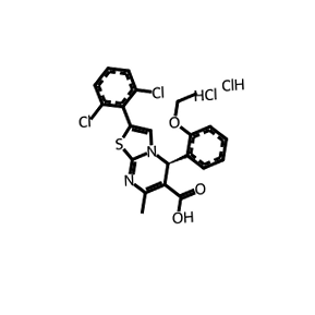 CCOc1ccccc1[C@H]1C(C(=O)O)=C(C)N=C2SC(c3c(Cl)cccc3Cl)=CN21.Cl.Cl